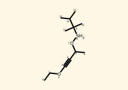 CCOC#CC(C)O[SiH2]C(C)(C)C(C)C